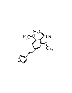 C=C(C)c1c(OC)cc(/C=C/c2ccoc2)cc1OC